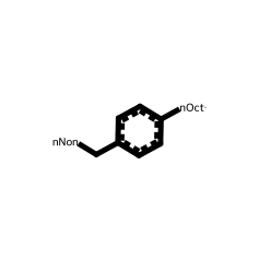 CCCCCCC[CH]c1ccc(CCCCCCCCCC)cc1